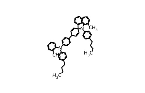 CCCCc1ccc(N(c2ccc(C3C=CC(c4ccccc4)(N(c4ccc(CCCC)cc4)c4ccccc4C)C=C3)cc2)c2ccccc2C)cc1